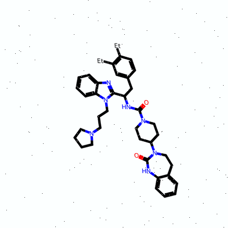 CCc1ccc(CC(NC(=O)N2CCC(N3CCc4ccccc4NC3=O)CC2)c2nc3ccccc3n2CCCN2CCCC2)cc1CC